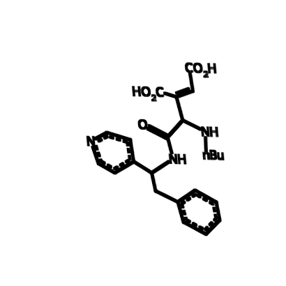 CCCCNC(C(=O)NC(Cc1ccccc1)c1ccncc1)/C(=C/C(=O)O)C(=O)O